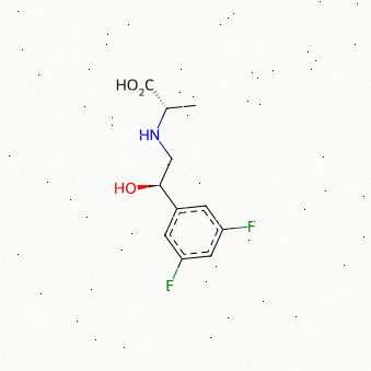 C[C@H](NC[C@H](O)c1cc(F)cc(F)c1)C(=O)O